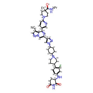 CCC1(C(=O)NC(C)C)CCN(c2ccc(-c3nc(-c4cnn(C5CCC(N6CCC(c7ccc(NC8CCC(=O)NC8=O)cc7F)CC6)CC5)c4)cn4ncc(C#N)c34)cn2)CC1